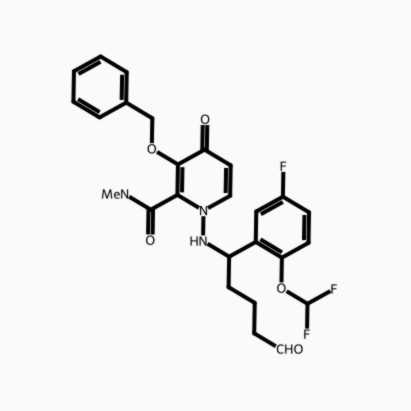 CNC(=O)c1c(OCc2ccccc2)c(=O)ccn1NC(CCCC=O)c1cc(F)ccc1OC(F)F